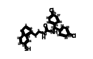 O=C(NCCc1cccc2ccc(S)cc12)NC(c1ccc(Cl)cc1)c1ccc(Cl)cc1